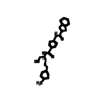 Cc1ccc(CSC[C@@H](CO)NC(=O)c2ccc(NC(=O)N3Cc4ccccc4C3)cc2)cc1